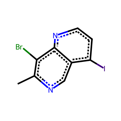 Cc1ncc2c(I)ccnc2c1Br